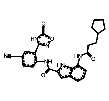 N#Cc1ccc(NC(=O)c2cc3cccc(NC(=O)CCC4CCCC4)c3[nH]2)c(-c2noc(=O)[nH]2)c1